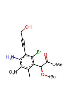 COC(=O)[C@@H](OC(C)(C)C)c1c(C)c([N+](=O)[O-])c(N)c(C#CCO)c1Br